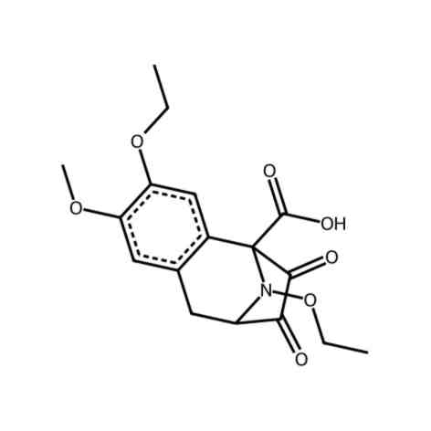 CCOc1cc2c(cc1OC)CC1C(=O)C(=O)C2(C(=O)O)N1OCC